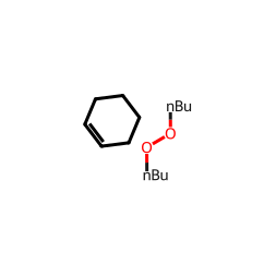 C1=CCCCC1.CCCCOOCCCC